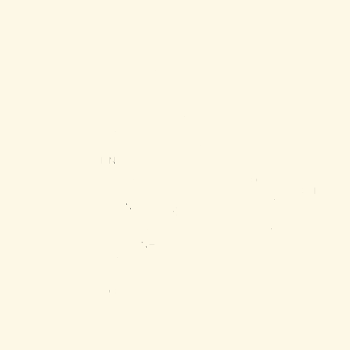 CC(=O)OCCCCC(NC(c1ccccc1)(c1ccccc1)c1ccccc1)n1ccc(=O)[nH]c1=O